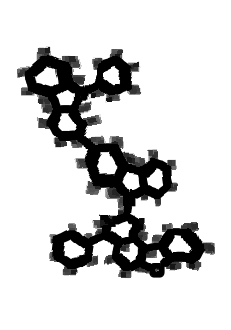 c1ccc(-c2nc(-n3c4ccccc4c4cc(-c5ccc6c7ccccc7n(-c7ccccc7)c6c5)ccc43)nc3c2ccc2oc4ccccc4c23)cc1